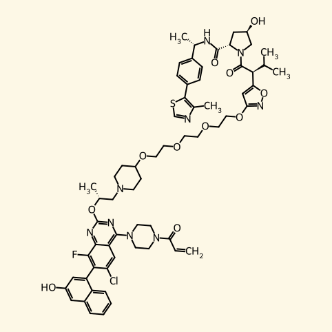 C=CC(=O)N1CCN(c2nc(O[C@H](C)CN3CCC(OCCOCCOCCOc4cc([C@@H](C(=O)N5C[C@H](O)C[C@H]5C(=O)N[C@@H](C)c5ccc(-c6scnc6C)cc5)C(C)C)on4)CC3)nc3c(F)c(-c4cc(O)cc5ccccc45)c(Cl)cc23)CC1